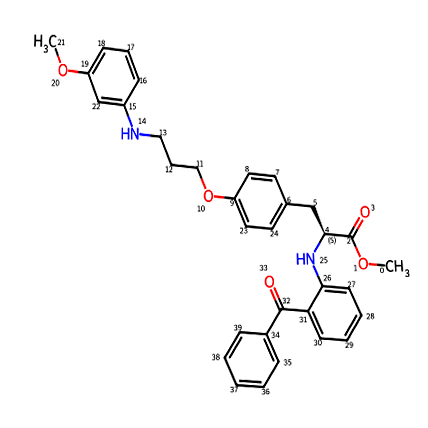 COC(=O)[C@H](Cc1ccc(OCCCNc2cccc(OC)c2)cc1)Nc1ccccc1C(=O)c1ccccc1